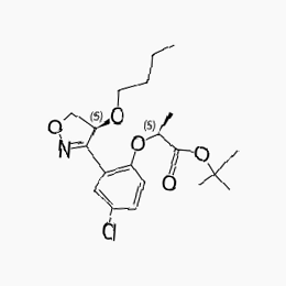 CCCCO[C@@H]1CON=C1c1cc(Cl)ccc1O[C@@H](C)C(=O)OC(C)(C)C